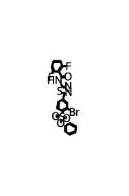 O=C(Nc1nnc(-c2ccc(S(=O)(=O)Oc3ccccc3)c(Br)c2)s1)c1c(F)cccc1F